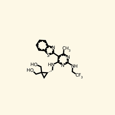 Cc1nc(NCC(F)(F)F)nc(NC[C@@H]2CC2(CO)CO)c1-c1nc2ccccc2s1